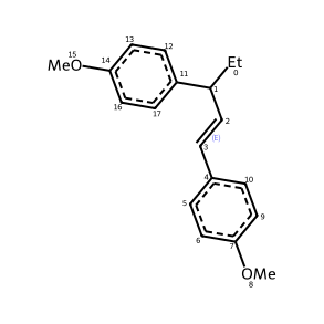 CCC(/C=C/c1ccc(OC)cc1)c1ccc(OC)cc1